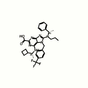 CCCN(c1nc2nc(C(=O)O)nc(N[C@H](C)C3CCC3)c2n1Cc1ccc(C(F)(F)F)cc1)[C@@H](C)c1ccccc1